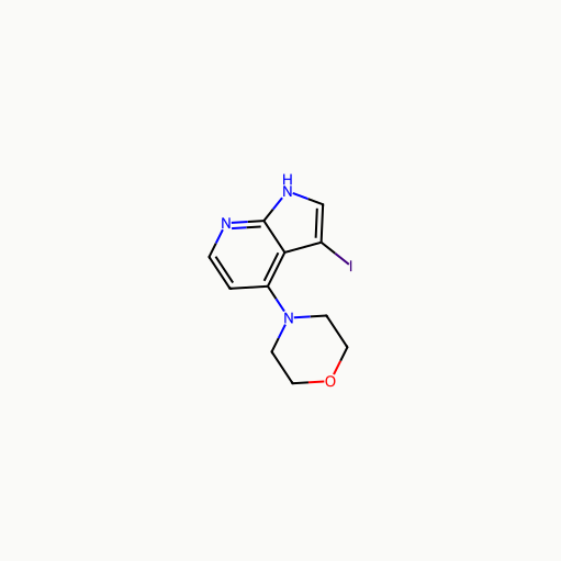 Ic1c[nH]c2nccc(N3CCOCC3)c12